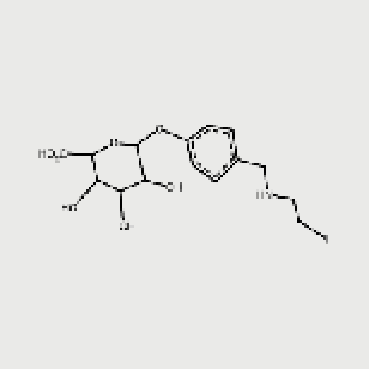 O=C(O)C1OC(Oc2ccc(CNCCI)cc2)C(O)C(O)C1O